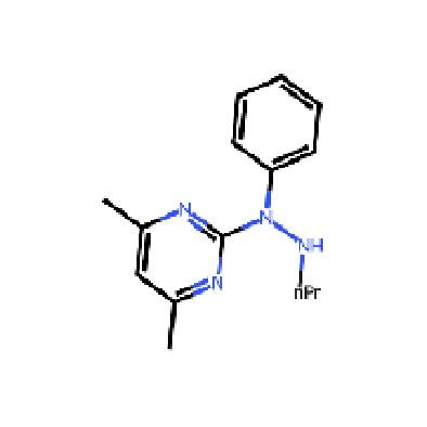 CCCNN(c1ccccc1)c1nc(C)cc(C)n1